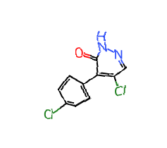 O=c1[nH]ncc(Cl)c1-c1ccc(Cl)cc1